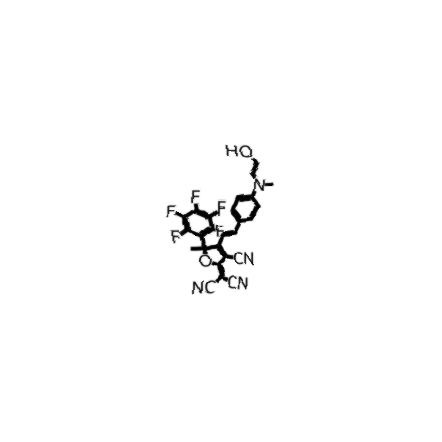 CN(CCO)c1ccc(/C=C/C2=C(C#N)C(=C(C#N)C#N)OC2(C)c2c(F)c(F)c(F)c(F)c2F)cc1